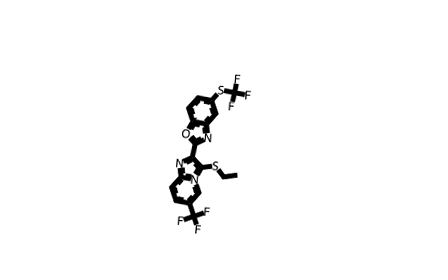 CCSc1c(-c2nc3cc(SC(F)(F)F)ccc3o2)nc2ccc(C(F)(F)F)cn12